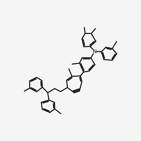 CC1=CC(CCC(c2cccc(C)c2)c2cccc(C)c2)C#CC=C1c1ccc(N(C2=CC(C)C(C)C=C2)c2cccc(C)c2)cc1C